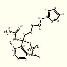 CNS(=O)(=O)CC(CCCOCc1ccccc1)(NC(N)=S)c1ccccc1F